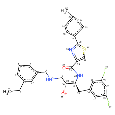 CCc1cccc(CNC[C@@H](O)[C@H](Cc2cc(F)cc(F)c2)NC(=O)c2csc(-c3ccc(C)cc3)n2)c1